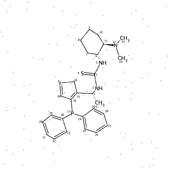 C[C@@H](NC(=S)N[C@@H]1CCCC[C@H]1N(C)C)C1=C(P(c2ccccc2)c2ccccc2)C=CC1